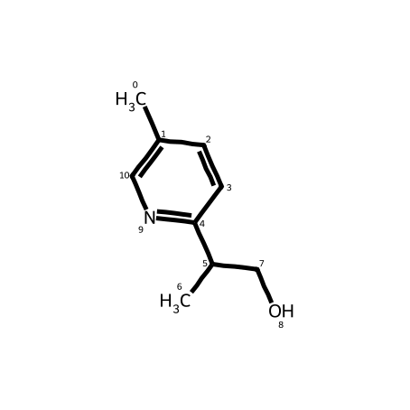 Cc1ccc(C(C)CO)nc1